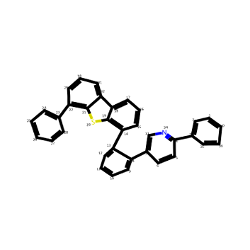 c1ccc(-c2ccc(-c3ccccc3-c3cccc4c3sc3c(-c5ccccc5)cccc34)cn2)cc1